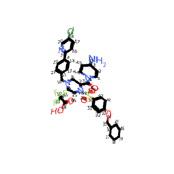 NC1CCN(C(=O)C2CN(Cc3ccc(-c4ccc(Cl)cn4)cc3)CCN2S(=O)(=O)c2ccc(OCC3CCCCC3)cc2)CC1.O=C(O)C(F)(F)F